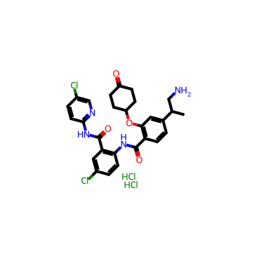 CC(CN)c1ccc(C(=O)Nc2ccc(Cl)cc2C(=O)Nc2ccc(Cl)cn2)c(OC2CCC(=O)CC2)c1.Cl.Cl